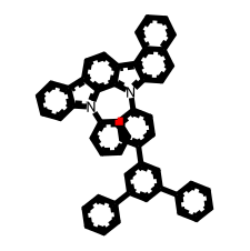 c1ccc(-c2cc(-c3ccccc3)cc(-c3ccc(-n4c5ccc6ccccc6c5c5ccc6c7ccccc7n(-c7ccccc7)c6c54)cc3)c2)cc1